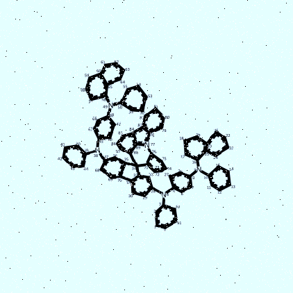 c1ccc(N(c2ccc(N(c3ccccc3)c3cccc4ccccc34)cc2)c2ccc3c(c2)C2(c4cc(N(c5ccccc5)c5ccc(N(c6ccccc6)c6cccc7ccccc67)cc5)ccc4-3)c3ccccc3-n3c4ccccc4c4cccc2c43)cc1